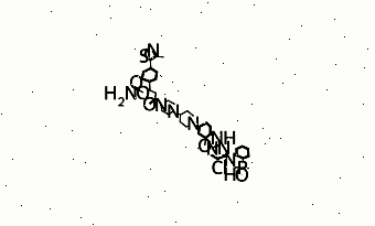 COc1cc(N2CCC(N3CCN(C(=O)CC(OC(N)=O)c4ccc(-c5scnc5C)cc4)CC3)CC2)ccc1Nc1ncc(Cl)c(Nc2ccccc2P(C)(C)=O)n1